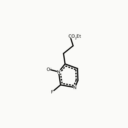 CCOC(=O)CCc1ccnc(F)[n+]1[O-]